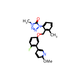 COc1ccc(-c2cc(OCc3c(C)cccc3-n3nnn(C)c3=O)ccc2F)cn1